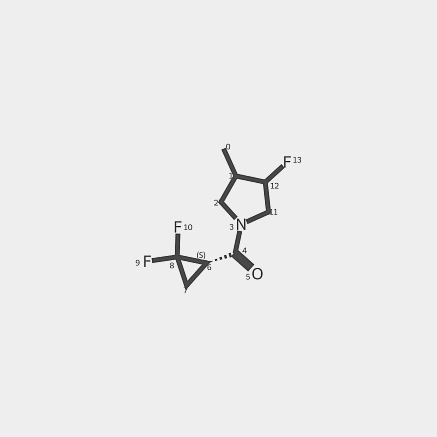 CC1CN(C(=O)[C@@H]2CC2(F)F)CC1F